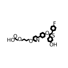 O=C(O)COCCCCOc1ccc(-c2ccc(Oc3c(-c4ccc(F)cc4)sc4cc(O)ccc34)cc2)nc1